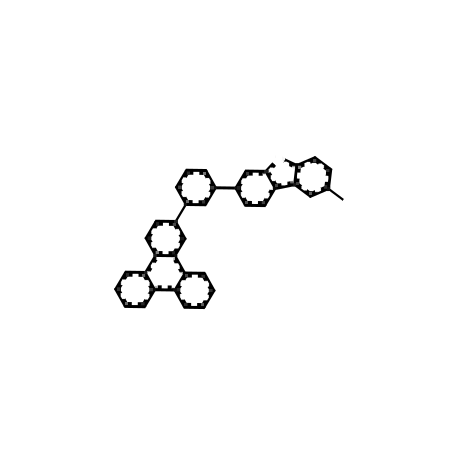 Cc1ccc2oc3cc(-c4cccc(-c5ccc6c7ccccc7c7ccccc7c6c5)c4)ccc3c2c1